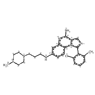 Cc1cccc(Cl)c1-c1ncc2c(N)nc3cc(NCCCN4CCN(C)CC4)ccc3n12